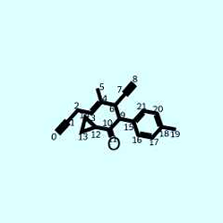 C#CCC=C(C)C(C#C)C(C(=O)C1CC1)c1ccc(C)cc1